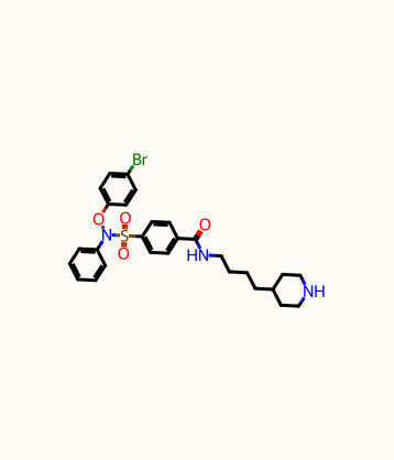 O=C(NCCCCC1CCNCC1)c1ccc(S(=O)(=O)N(Oc2ccc(Br)cc2)c2ccccc2)cc1